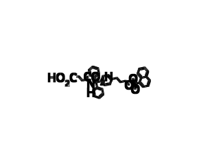 O=C(O)CC[C@H](NC(c1ccccc1)(c1ccccc1)c1ccc(CCCOS(=O)(=O)c2cccc3ccccc23)cc1)C(=O)O